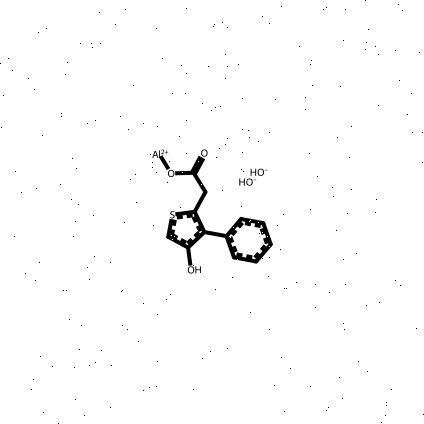 O=C(Cc1scc(O)c1-c1ccccc1)[O][Al+2].[OH-].[OH-]